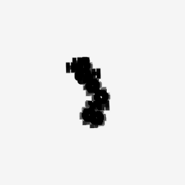 C[C@@H](NC1CCCC(c2ccc(C(=O)NC(CO)C(=O)O)cc2)C1)c1cccc2ccccc12